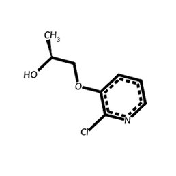 C[C@H](O)COc1cccnc1Cl